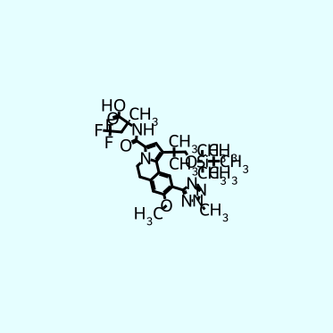 COc1cc2c(cc1-c1nnn(C)n1)-c1c(C(C)(C)CO[Si](C)(C)C(C)(C)C)cc(C(=O)N[C@@](C)(CC(F)(F)F)C(=O)O)n1CC2